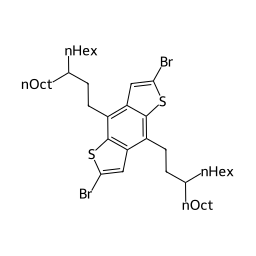 CCCCCCCCC(CCCCCC)CCc1c2cc(Br)sc2c(CCC(CCCCCC)CCCCCCCC)c2cc(Br)sc12